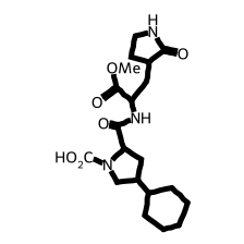 COC(=O)C(CC1CCNC1=O)NC(=O)C1CC(C2CCCCC2)CN1C(=O)O